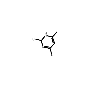 CC1=CC(Cl)=NC(N)N1